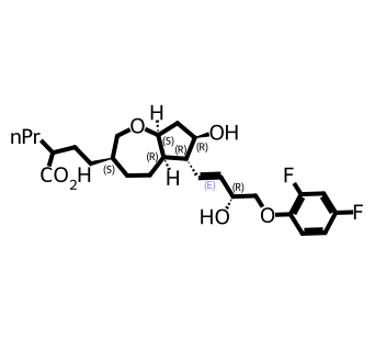 CCCC(CC[C@@H]1CC[C@@H]2[C@@H](/C=C/[C@@H](O)COc3ccc(F)cc3F)[C@H](O)C[C@@H]2OC1)C(=O)O